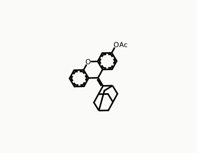 CC(=O)Oc1ccc2c(c1)Oc1ccccc1C2=C1C2CC3CC(C2)CC1C3